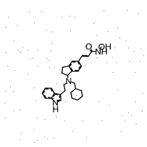 O=C(/C=C/c1ccc2c(c1)CCC2N(CCc1c[nH]c2ccccc12)CC1CCCCC1)NO